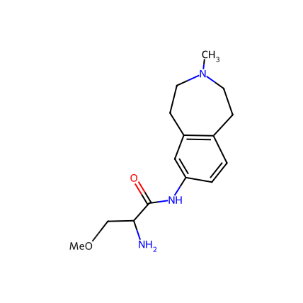 COCC(N)C(=O)Nc1ccc2c(c1)CCN(C)CC2